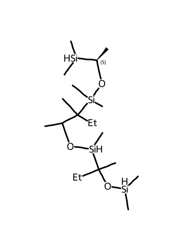 CCC(C)(O[SiH](C)C)[SiH](C)OC(C)C(C)(CC)[Si](C)(C)O[C@H](C)[SiH](C)C